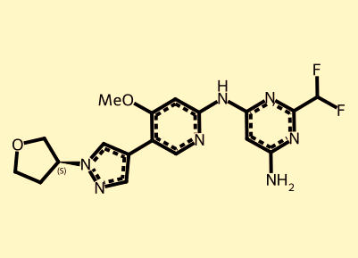 COc1cc(Nc2cc(N)nc(C(F)F)n2)ncc1-c1cnn([C@H]2CCOC2)c1